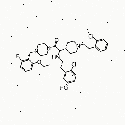 CCOc1cccc(F)c1CN1CCN(C(=O)C(NCCc2ccccc2Cl)C2CCN(CCc3ccccc3Cl)CC2)CC1.Cl